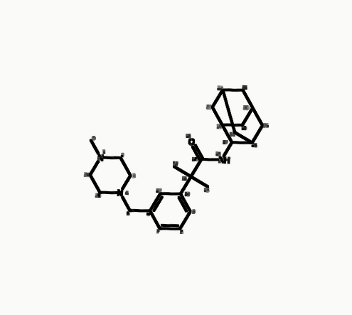 CN1CCN(Cc2cccc(C(C)(C)C(=O)NC3C4CC5CC(C4)CC3C5)c2)CC1